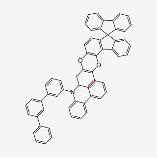 C1=CC(N(c2cccc(-c3cccc(-c4ccccc4)c3)c2)c2ccccc2-c2ccccc2)CC2=C1Oc1c(ccc3c1-c1ccccc1C31c3ccccc3-c3ccccc31)O2